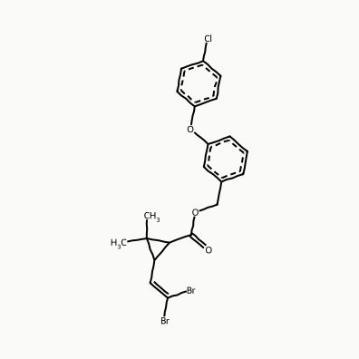 CC1(C)C(C=C(Br)Br)C1C(=O)OCc1cccc(Oc2ccc(Cl)cc2)c1